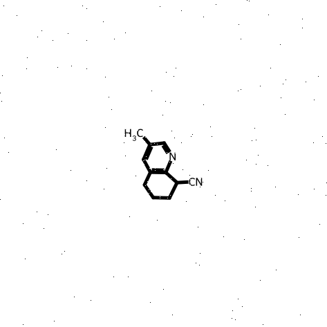 Cc1cnc2c(c1)CCCC2C#N